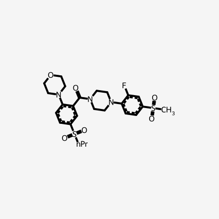 CCCS(=O)(=O)c1ccc(N2CCOCC2)c(C(=O)N2CCN(c3ccc(S(C)(=O)=O)cc3F)CC2)c1